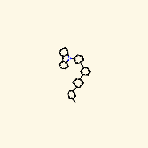 Cc1cccc(-c2ccc(-c3cccc(-c4cccc(-n5c6ccccc6c6ccccc65)c4)c3)cc2)c1